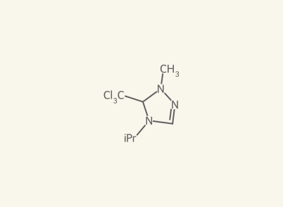 CC(C)N1C=NN(C)C1C(Cl)(Cl)Cl